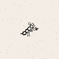 COC(=O)C(Cc1cc2cc(C)ccc2[nH]c1=O)NC(=O)OC(C)(C)C